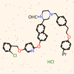 CC(C)c1ccc(OCCc2ccc(CN3CCN(C=O)C(c4ccc5cc(Oc6ccc(OCc7ccccc7Cl)cn6)ccc5c4)C3)cc2)cc1.Cl